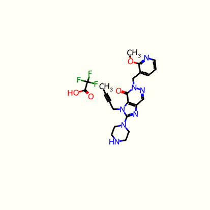 CC#CCn1c(N2CCNCC2)nc2cnn(Cc3cccnc3OC)c(=O)c21.O=C(O)C(F)(F)F